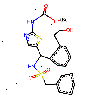 CC(C)(C)OC(=O)Nc1ncc(C(NS(=O)(=O)Cc2ccccc2)c2ccccc2CCO)s1